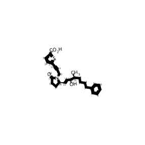 C[C@@H](CCCCc1ccccc1)[C@H](O)C=C[C@H]1CCC(=O)N1CC#Cc1ccc(C(=O)O)s1